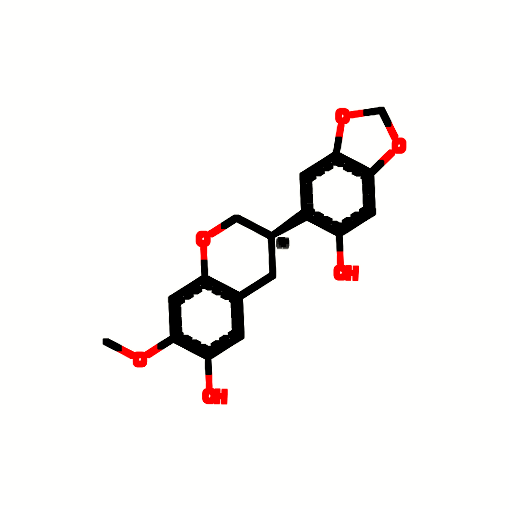 COc1cc2c(cc1O)C[C@H](c1cc3c(cc1O)OCO3)CO2